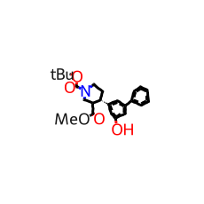 COC(=O)C1CN(C(=O)OC(C)(C)C)CC[C@@H]1c1cc(O)cc(-c2ccccc2)c1